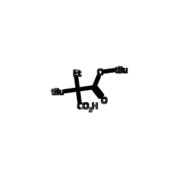 CCC(C(=O)O)(C(=O)OC(C)(C)C)C(C)(C)C